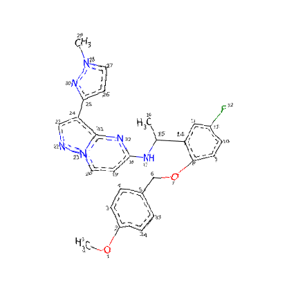 COc1ccc(COc2ccc(F)cc2C(C)Nc2ccn3ncc(-c4ccn(C)n4)c3n2)cc1